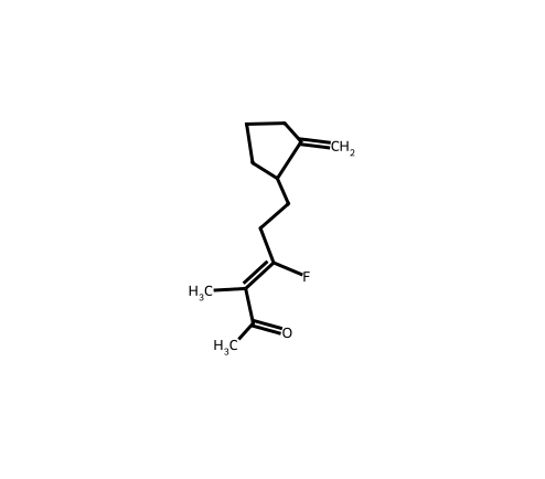 C=C1CCCC1CC/C(F)=C(\C)C(C)=O